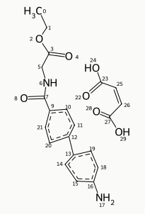 CCOC(=O)CNC(=O)c1ccc(-c2ccc(N)cc2)cc1.O=C(O)/C=C\C(=O)O